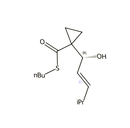 CCCCSC(=O)C1([C@H](O)/C=C/C(C)C)CC1